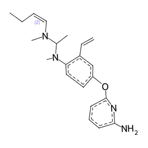 C=Cc1cc(Oc2cccc(N)n2)ccc1N(C)C(C)N(C)/C=C\CC